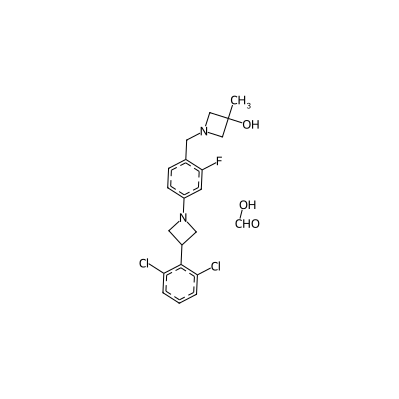 CC1(O)CN(Cc2ccc(N3CC(c4c(Cl)cccc4Cl)C3)cc2F)C1.O=CO